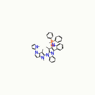 Cc1c(-n2c3ccccc3n3c4c5ccccc5n([PH](C)(c5ccccc5)c5ccccc5)c4c(C)c23)n(C)c2ccn(-c3cccn3C)c12